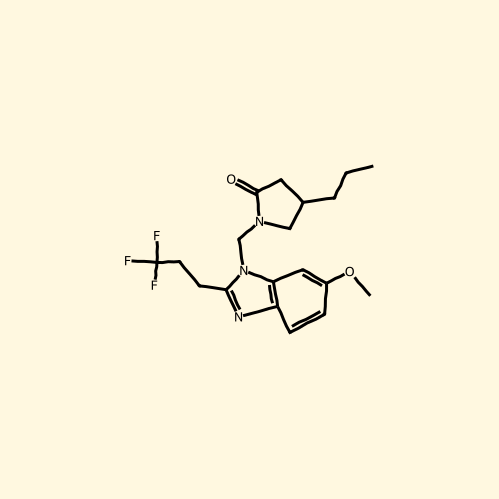 CCCC1CC(=O)N(Cn2c(CCC(F)(F)F)nc3ccc(OC)cc32)C1